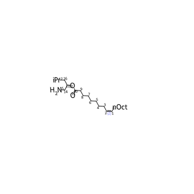 CCCCCCCC/C=C\CCCCCCCC(=O)OC(CN)CC(C)C